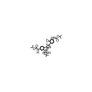 COc1cc(NC(=O)OC(C)C)ccc1-c1ncc(-c2ccc(NC(=O)OC(C)C)cc2S(=O)(=O)NC(C)(C)C)s1